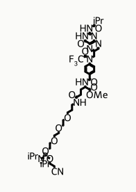 COC(=O)C(CCC(=O)NCCCOCCOCCOCCOP(OCCC#N)N(C(C)C)C(C)C)NC(=O)c1ccc(N(Cc2cnc3nc(NC(=O)C(C)C)[nH]c(=O)c3n2)C(=O)C(F)(F)F)cc1